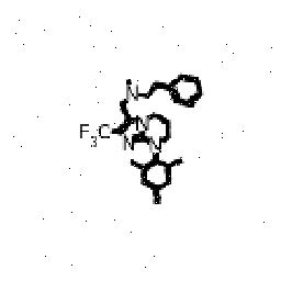 Cc1cc(C)c(N2CCCn3c2nc(C(F)(F)F)c3CN(C)CCc2ccccc2)c(C)c1